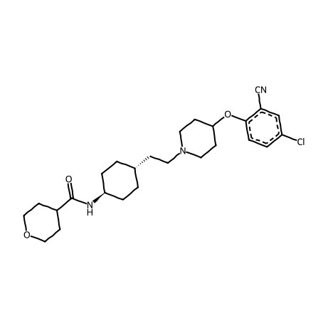 N#Cc1cc(Cl)ccc1OC1CCN(CC[C@H]2CC[C@H](NC(=O)C3CCOCC3)CC2)CC1